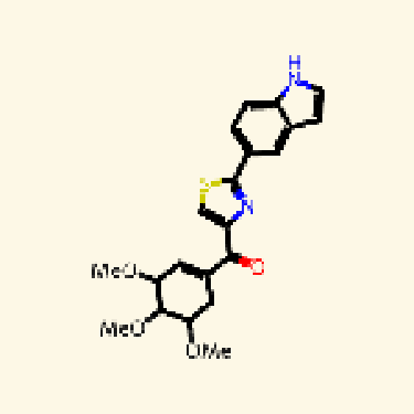 COC1C=C(C(=O)c2csc(-c3ccc4[nH]ccc4c3)n2)CC(OC)C1OC